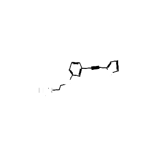 NCCOc1cccc(C#Cc2cccs2)c1